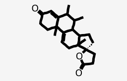 CC1C2=CC(=O)CCC2(C)C2=CCC3(C)C(CC[C@@]34CCC(=O)O4)C2C1C